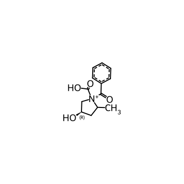 CC1C[C@@H](O)C[N+]1(C(=O)O)C(=O)c1ccccc1